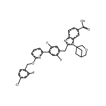 O=C(O)c1ccc2nc(Cc3cc(F)c(-c4cccc(OCc5ccc(Cl)cc5F)n4)cc3F)n(C34COCC(C3)C4)c2c1